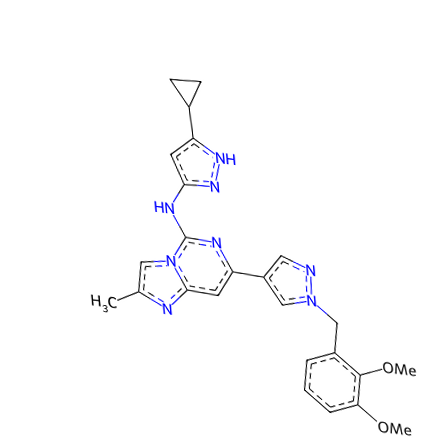 COc1cccc(Cn2cc(-c3cc4nc(C)cn4c(Nc4cc(C5CC5)[nH]n4)n3)cn2)c1OC